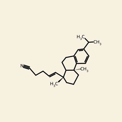 CC(C)c1ccc2c(c1)CCC1[C@@](C)(C=CCCC#N)CCC[C@]21C